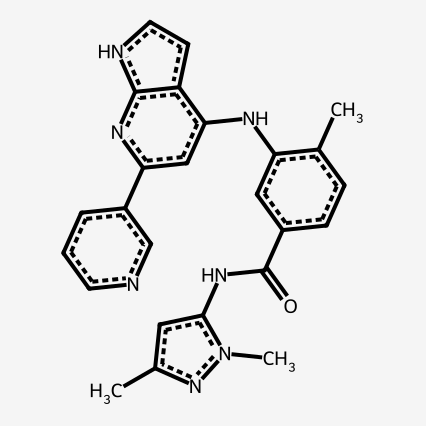 Cc1cc(NC(=O)c2ccc(C)c(Nc3cc(-c4cccnc4)nc4[nH]ccc34)c2)n(C)n1